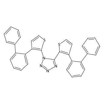 c1ccc(-c2ccccc2-c2ccsc2-c2nnnn2-c2sccc2-c2ccccc2-c2ccccc2)cc1